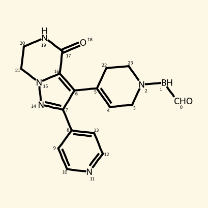 O=CBN1CC=C(c2c(-c3ccncc3)nn3c2C(=O)NCC3)CC1